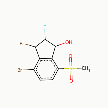 CS(=O)(=O)c1ccc(Br)c2c1C(O)C(F)C2Br